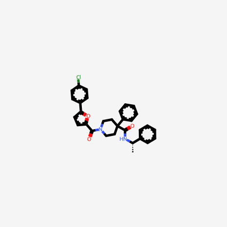 C[C@H](NC(=O)C1(c2ccccc2)CCN(C(=O)c2ccc(-c3ccc(Cl)cc3)o2)CC1)c1ccccc1